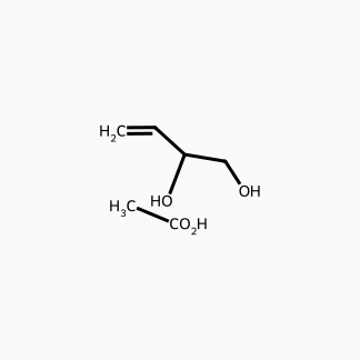 C=CC(O)CO.CC(=O)O